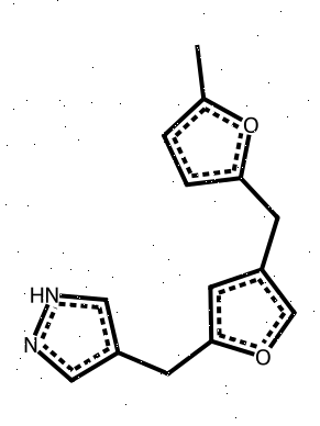 Cc1ccc(Cc2coc(Cc3cn[nH]c3)c2)o1